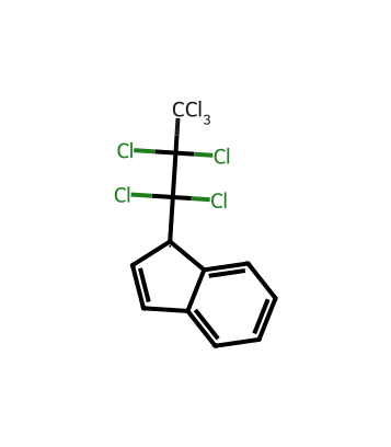 ClC(Cl)(Cl)C(Cl)(Cl)C(Cl)(Cl)[C]1C=Cc2ccccc21